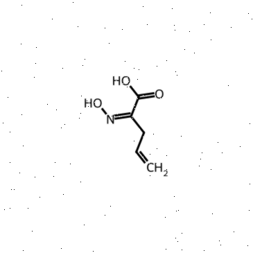 C=CCC(=NO)C(=O)O